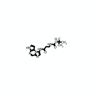 CC(C)(C)OC(=O)NCCC(=O)Nc1cnc2cnc3[nH]ccc3n12